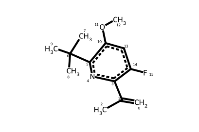 C=C(C)c1nc(C(C)(C)C)c(OC)cc1F